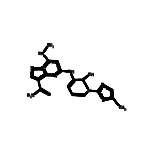 CNc1cc(NC2=CC=CN(c3ncc(C)s3)C2O)nc2c(C(N)=O)cnn12